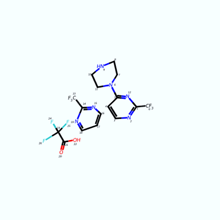 FC(F)(F)c1nccc(N2CCNCC2)n1.FC(F)(F)c1ncccn1.O=C(O)C(F)(F)F